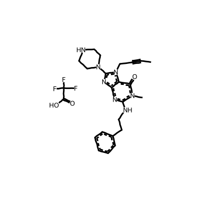 CC#CCn1c(N2CCNCC2)nc2nc(NCCc3ccccc3)n(C)c(=O)c21.O=C(O)C(F)(F)F